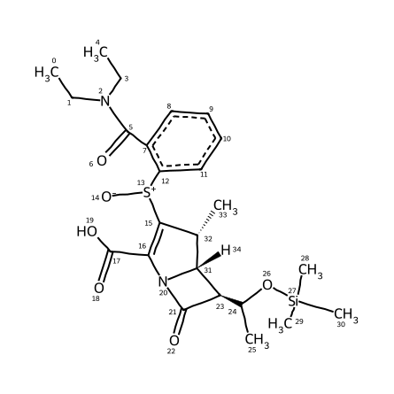 CCN(CC)C(=O)c1ccccc1[S+]([O-])C1=C(C(=O)O)N2C(=O)[C@H](C(C)O[Si](C)(C)C)[C@H]2[C@H]1C